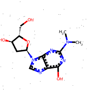 CN(C)c1nc(O)c2ncn([C@H]3C[C@@H](O)[C@H](CO)O3)c2n1